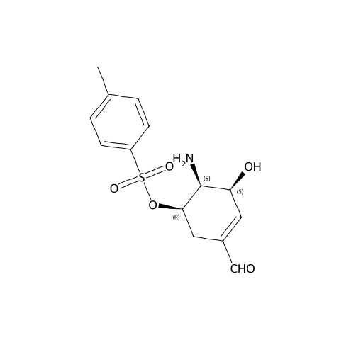 Cc1ccc(S(=O)(=O)O[C@@H]2CC(C=O)=C[C@H](O)[C@@H]2N)cc1